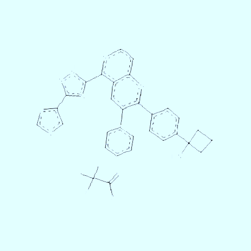 NC1(c2ccc(-c3nc4ccnc(-c5nc(-c6cncs6)n[nH]5)c4cc3-c3ccccc3)cc2)CCC1.O=C(O)C(F)(F)F